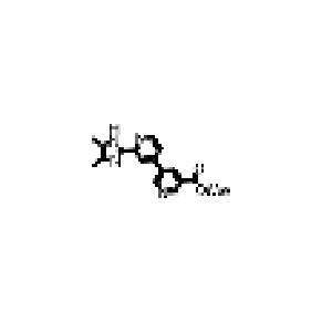 COC(=O)c1cncc(-c2ccnc(-c3nc(C)c(C)[nH]3)c2)c1